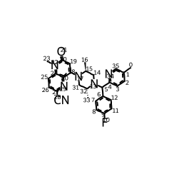 Cc1ccc(C(c2ccc(F)cc2)N2C[C@H](C)N(c3cc(=O)n(C)c4ccc(C#N)nc34)C[C@H]2C)nc1